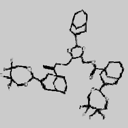 C=C(CCC1OC(C2CC3CCCC(C3)C2)OC1COC(=O)C12CCCC(CC(C3OCC(F)(F)C(F)(F)CO3)C1)C2)C12CCCC(CC(C3OCC(F)(F)C(F)(F)CO3)C1)C2